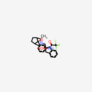 COC1(c2cccc(NC(=O)C(F)(F)F)c2)C2CCC1CN(CC1(O)Cc3ccccc3C1)C2